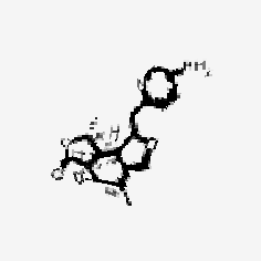 Bc1ccc(CC2OCC3[C@H]2[C@@H]2[C@@H](C)OC(=O)[C@]2(O)C[C@@H]3C)nc1